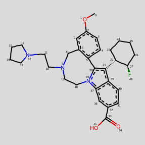 COc1ccc2c(c1)CN(CCN1CCCC1)CCn1c-2c([C@@H]2CCCC[C@H]2F)c2ccc(C(=O)O)cc21